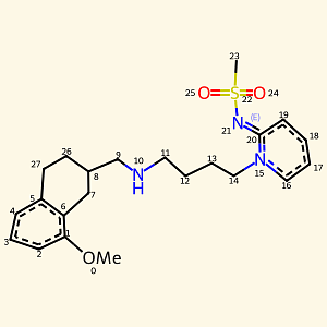 COc1cccc2c1CC(CNCCCCn1cccc/c1=N\S(C)(=O)=O)CC2